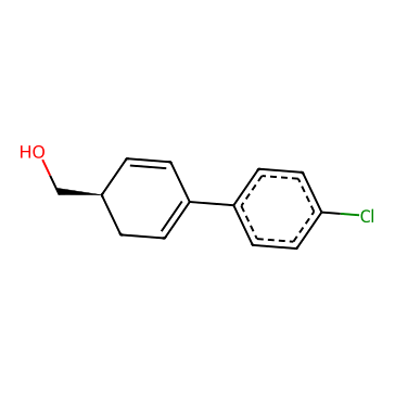 OC[C@H]1C=CC(c2ccc(Cl)cc2)=CC1